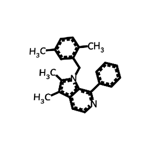 Cc1ccc(C)c(Cn2c(C)c(C)c3ccnc(-c4ccccc4)c32)c1